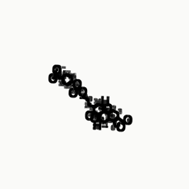 C[C@]12CCC3=C(COC3=O)C1C[C@@H]1O[C@@]13C(=O)C(CCCOC(=O)Oc1ccc([N+](=O)[O-])cc1)=C[C@@H]1O[C@]123